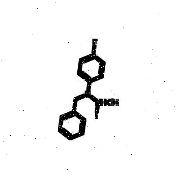 Cl.Fc1ccc(N(Cc2ccccc2)NI)cc1